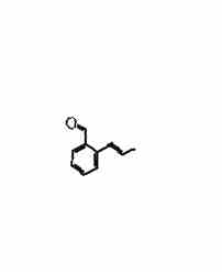 CC=Cc1ccccc1C=O